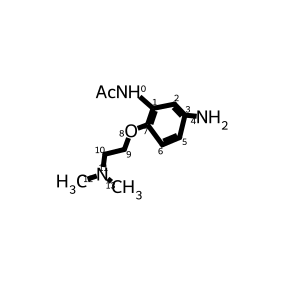 CC(=O)Nc1cc(N)ccc1OCCN(C)C